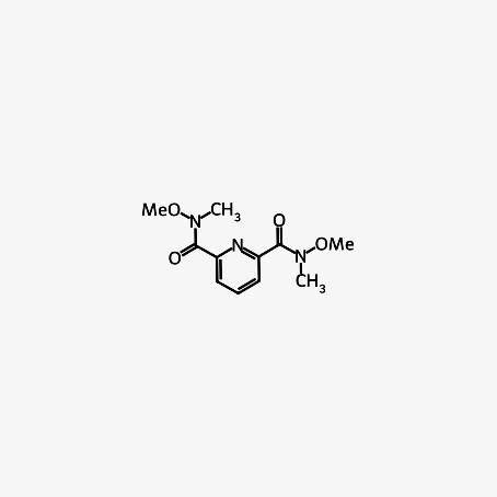 CON(C)C(=O)c1cccc(C(=O)N(C)OC)n1